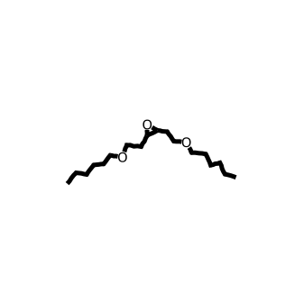 CCCCCCOCCC1OC1CCOCCCCCC